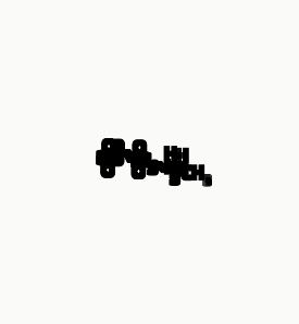 CNC(=S)NCCSC1CC(=O)N(CCC(=O)ON2C(=O)CCC2=O)C1=O